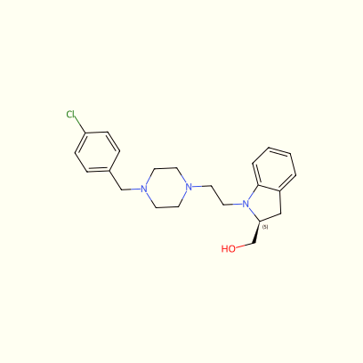 OC[C@@H]1Cc2ccccc2N1CCN1CCN(Cc2ccc(Cl)cc2)CC1